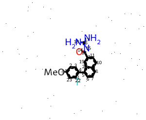 COc1ccc(-c2cccc3ccc(C(=O)N=C(N)N)cc23)c(F)c1